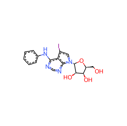 OC[C@@H]1O[C@@H](n2cc(I)c3c(Nc4ccccc4)ncnc32)[C@H](O)[C@@H]1O